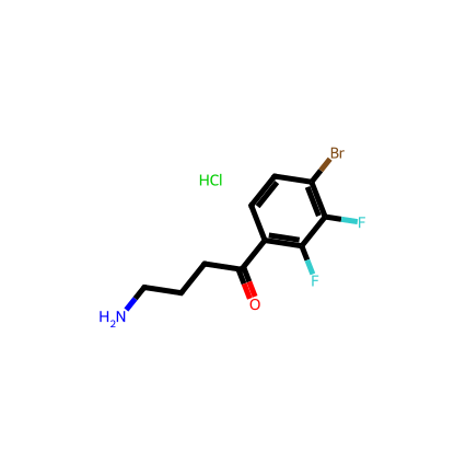 Cl.NCCCC(=O)c1ccc(Br)c(F)c1F